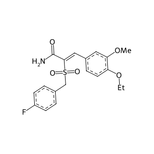 CCOc1ccc(/C=C(/C(N)=O)S(=O)(=O)Cc2ccc(F)cc2)cc1OC